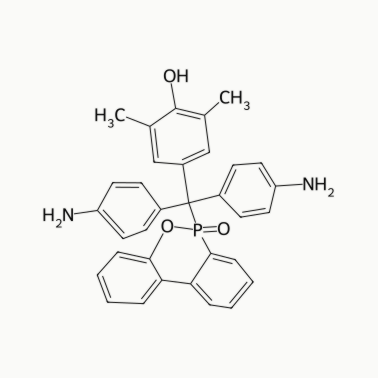 Cc1cc(C(c2ccc(N)cc2)(c2ccc(N)cc2)P2(=O)Oc3ccccc3-c3ccccc32)cc(C)c1O